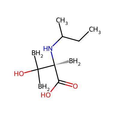 BC(B)(O)[C@@](B)(NC(C)CC)C(=O)O